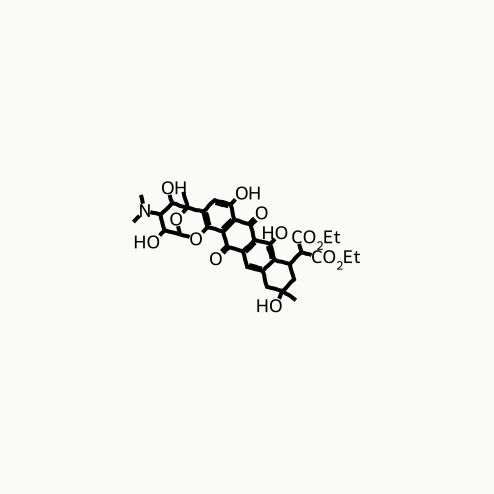 CCOC(=O)C(C(=O)OCC)C1CC(C)(O)Cc2cc3c(c(O)c21)C(=O)c1c(O)cc2c(c1C3=O)OC1OC2(C)C(O)C(N(C)C)C1O